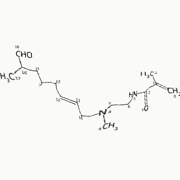 C=C(C)C(=O)NCCN(C)CC=CCCCC(C)C=O